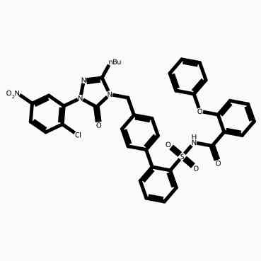 CCCCc1nn(-c2cc([N+](=O)[O-])ccc2Cl)c(=O)n1Cc1ccc(-c2ccccc2S(=O)(=O)NC(=O)c2ccccc2Oc2ccccc2)cc1